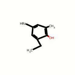 CCc1c[c]([RaH])cc(C)c1O